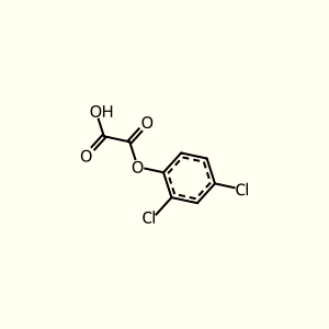 O=C(O)C(=O)Oc1ccc(Cl)cc1Cl